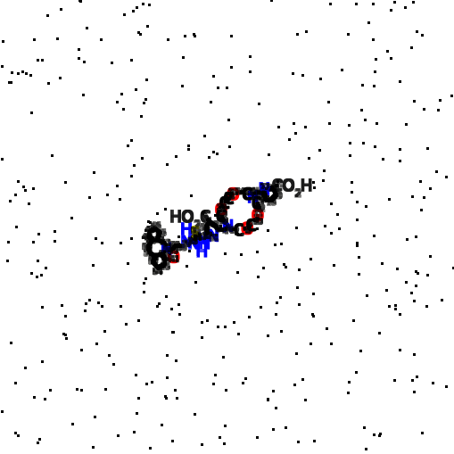 O=C(O)c1cc(CN2CCOCCOCCN(Cc3cccc(C(=O)O)n3)CCOCCOCC2)nc(NC(=S)NNCCC(=O)N2Cc3ccccc3/C=C\c3ccccc32)c1